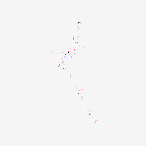 CC(=O)SCC(=O)NCCOCCOCC(=O)NCCOCCOCC(=O)N[C@H](C(=O)N[C@@H](CCCCN)C(=O)N1CCC[C@H]1C(=O)N1CCC[C@H]1C(=O)N[C@@H](CCCNC(=N)N)C(=O)O)[C@@H](C)O